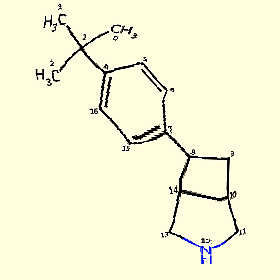 CC(C)(C)c1ccc(C2CC3CNCC32)cc1